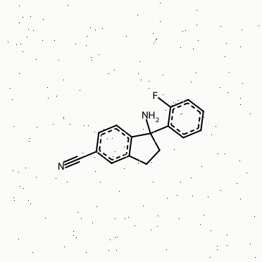 N#Cc1ccc2c(c1)CCC2(N)c1ccccc1F